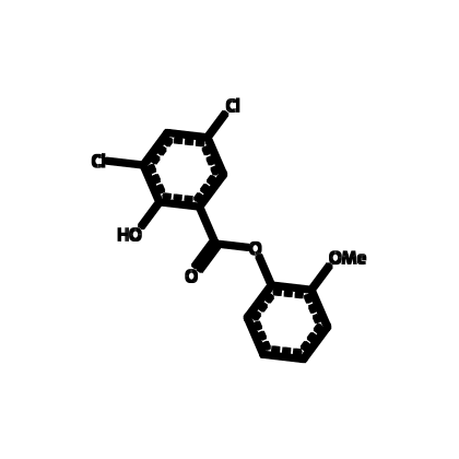 COc1ccccc1OC(=O)c1cc(Cl)cc(Cl)c1O